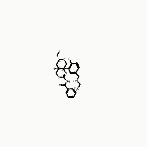 O=C(NC1=N[C@@]2(c3cc(CNCC(F)(F)F)ccc3F)CO[C@@H](CF)C[C@H]2CS1)c1ccccc1